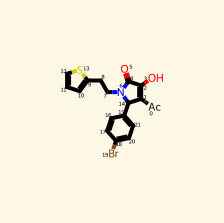 CC(=O)C1=C(O)C(=O)N(CCc2cccs2)C1c1ccc(Br)cc1